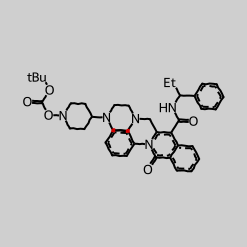 CCC(NC(=O)c1c(CN2CCN(C3CCN(OC(=O)OC(C)(C)C)CC3)CC2)n(-c2ccccc2)c(=O)c2ccccc12)c1ccccc1